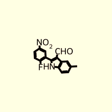 Cc1ccc2[nH]c(-c3cc([N+](=O)[O-])ccc3F)c(C=O)c2c1